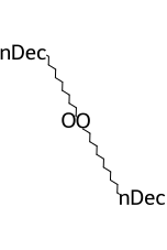 CCCCCCCCCCCCCCCCCCCCCOC(=O)CCCCCCCCCCCCCCCCCCC